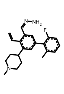 C=Cc1c(/C=N\N)cc(-c2c(C)cccc2F)cc1C1CCN(C)CC1